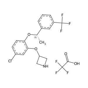 C[C@H](Oc1ccc(Cl)cc1OC1CNC1)c1cccc(C(F)(F)F)c1.O=C(O)C(F)(F)F